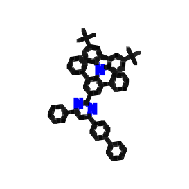 CC(C)(C)c1ccc2c(c1)c1cc(C(C)(C)C)ccc1n2-c1c(-c2ccccc2)cc(-c2nc(-c3ccccc3)cc(-c3ccc(-c4ccccc4)cc3)n2)cc1-c1ccccc1